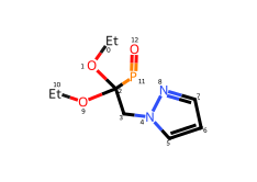 CCOC(Cn1cc[c]n1)(OCC)P=O